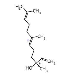 C=C[C@](C)(O)CC/C=C(\C)CCC=C(C)C